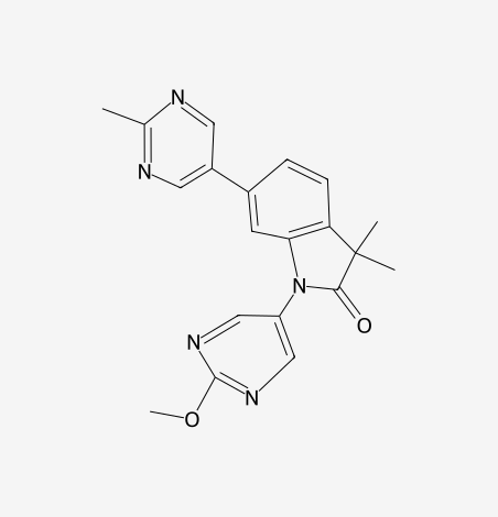 COc1ncc(N2C(=O)C(C)(C)c3ccc(-c4cnc(C)nc4)cc32)cn1